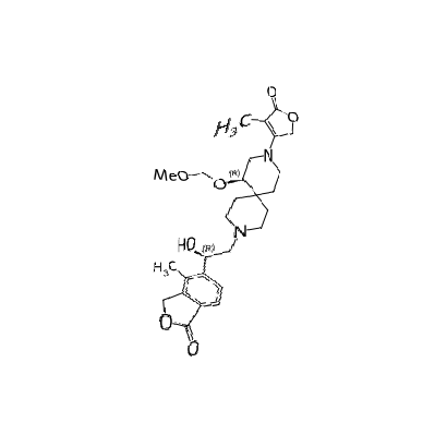 COCO[C@H]1CN(C2=C(C)C(=O)OC2)CCC12CCN(C[C@H](O)c1ccc3c(c1C)COC3=O)CC2